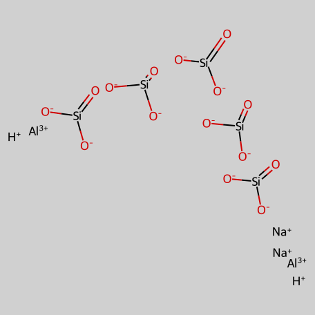 O=[Si]([O-])[O-].O=[Si]([O-])[O-].O=[Si]([O-])[O-].O=[Si]([O-])[O-].O=[Si]([O-])[O-].[Al+3].[Al+3].[H+].[H+].[Na+].[Na+]